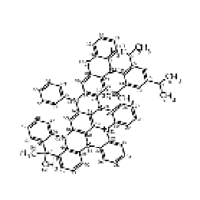 CC(C)c1cc(C(C)C)c(B2c3ccccc3Sc3cc4c(cc32)B2c3ccccc3N3c5ccccc5B5c6cccc7c6N(c6ccccc6C7(C)C)c6cc(c2c3c65)N4c2ccccc2)c(C(C)C)c1